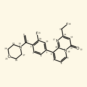 C=C(c1ccc(-c2cccn3c(=O)cc(CF)nc23)cc1F)N1CCOCC1